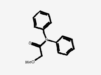 COCC(=O)N(c1ccccc1)c1ccccc1